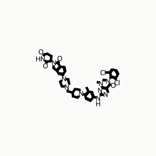 Cc1cc(Nc2ncc3c(n2)N(C)CN(c2c(Cl)cccc2Cl)C3=O)ccc1N1CCC(CN2CCN(c3ccc4c(c3)CN(C3CCC(=O)NC3=O)C4=O)CC2)CC1